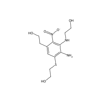 Nc1c(SCCO)cc(CCO)c([N+](=O)[O-])c1NCCO